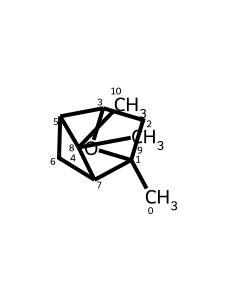 CC12CC(O1)C1CC2C1(C)C